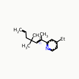 C=CCC(C)(C)/C=C(\C)c1cc(CC)ccn1